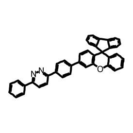 c1ccc(-c2ccc(-c3ccc(-c4ccc5c(c4)Oc4ccccc4C54c5ccccc5-c5ccccc54)cc3)nn2)cc1